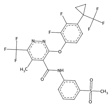 Cc1c(C(F)(F)F)nnc(Oc2ccc(C3(C(F)(F)F)CC3)c(F)c2F)c1C(=O)Nc1cccc(S(C)(=O)=O)c1